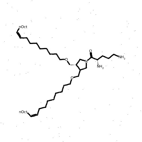 CCCCCCCC/C=C\CCCCCCCCOCC1CN(C(=O)[C@@H](N)CCCN)C[C@H]1COCCCCCCCC/C=C\CCCCCCCC